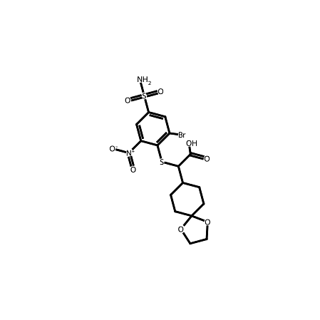 NS(=O)(=O)c1cc(Br)c(SC(C(=O)O)C2CCC3(CC2)OCCO3)c([N+](=O)[O-])c1